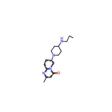 CCCNC1CCN(c2ccc3nc(C)cc(=O)n3c2)CC1